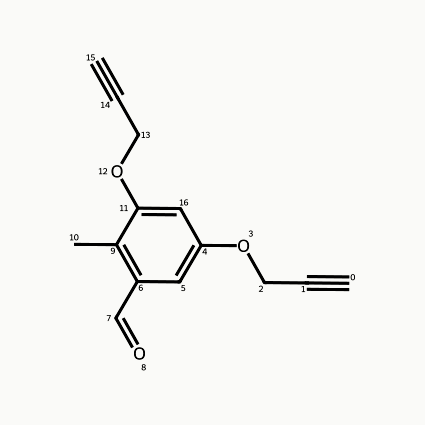 C#CCOc1cc(C=O)c(C)c(OCC#C)c1